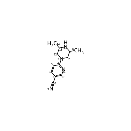 CC1CN(c2ccc(C#N)cn2)CC(C)N1